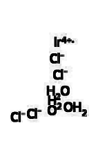 O.O.O.[Cl-].[Cl-].[Cl-].[Cl-].[Ir+4]